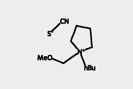 CCCC[N+]1(COC)CCCC1.N#C[S-]